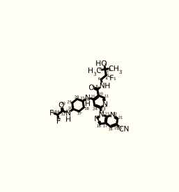 CC(C)(O)[C@H](F)CNC(=O)c1cnc(-n2ncc3cc(C#N)cnc32)cc1NC1CCC(NC(=O)C(F)F)CC1